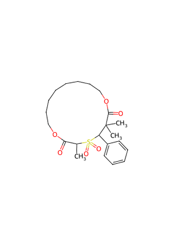 CC1C(=O)OCCCCCCCCOC(=O)C(C)(C)C(c2ccccc2)S1(=O)=O